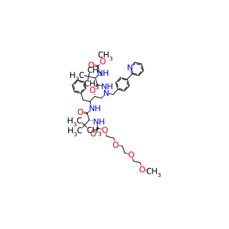 COCCOCCOCCOC(=O)N[C@@H](C(=O)NC([CH]CN(Cc1ccc(-c2ccccn2)cc1)NC(=O)[C@H](NC(=O)OC)C(C)(C)C)Cc1ccccc1)C(C)(C)C